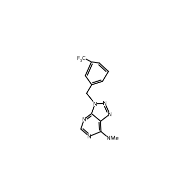 CNc1ncnc2c1nnn2Cc1cccc(C(F)(F)F)c1